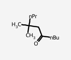 CCCCC(=O)CC(C)(C)CCC